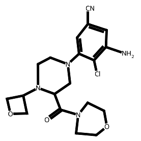 N#Cc1cc(N)c(Cl)c(N2CCN(C3COC3)C(C(=O)N3CCOCC3)C2)c1